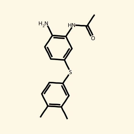 CC(=O)Nc1cc(Sc2ccc(C)c(C)c2)ccc1N